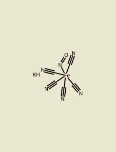 N#[C][Fe]([C]#N)([C]#N)([C]#N)([C]#N)[N]=O.[KH]